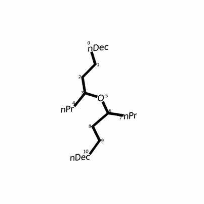 CCCCCCCCCCCCC(CCC)OC(CCC)CCCCCCCCCCCC